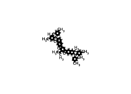 Cc1ccc(N(c2ccc3cc4c(cc3c2)oc2c(C(C)C)c3oc5cc6cc(N(c7ccc(C)cc7C)c7ccc(C)cc7C)ccc6cc5c3cc24)c2ccc(C)cc2C)c(C)c1